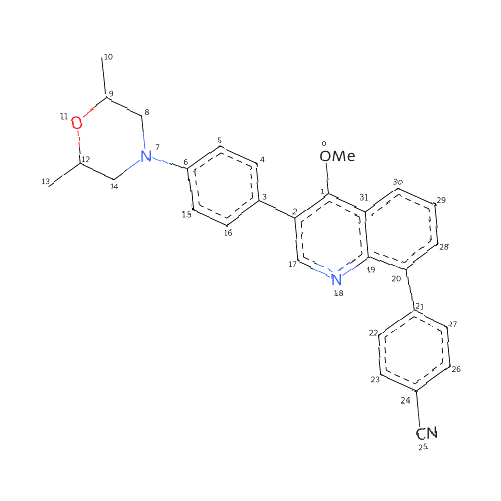 COc1c(-c2ccc(N3CC(C)OC(C)C3)cc2)cnc2c(-c3ccc(C#N)cc3)cccc12